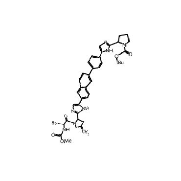 C=C1CC(c2ncc(-c3ccc4cc(-c5ccc(-c6cnc(C7CCCN7C(=O)OC(C)(C)C)[nH]6)cc5)ccc4c3)[nH]2)N(C(=O)C(NC(=O)OC)C(C)C)C1